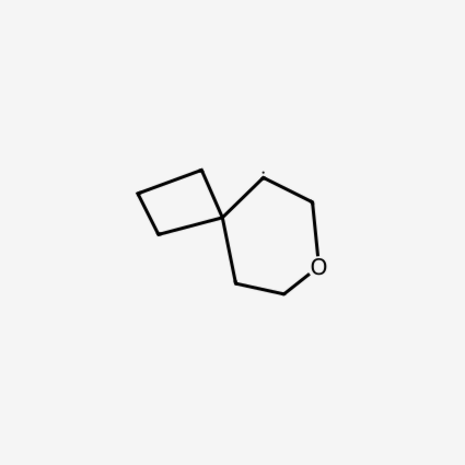 [CH]1COCCC12CCC2